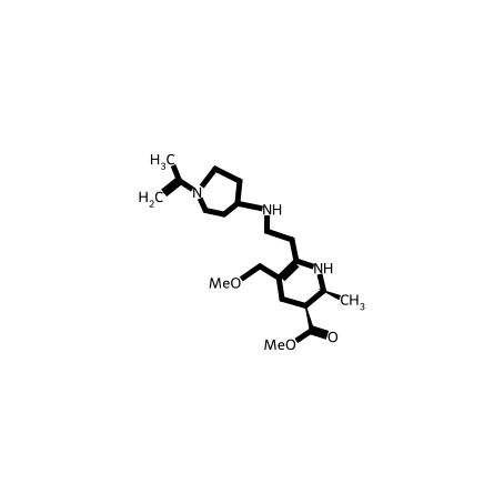 C=C(C)N1CCC(NCCC2=C(COC)C[C@H](C(=O)OC)[C@H](C)N2)CC1